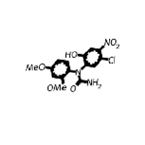 COc1ccc(N(C(N)=O)c2cc(Cl)c([N+](=O)[O-])cc2O)c(OC)c1